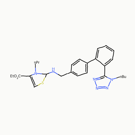 CCCCn1nnnc1-c1ccccc1-c1ccc(CNC2SC=C(C(=O)OCC)N2CCC)cc1